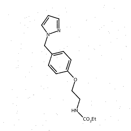 CCOC(=O)NCCOc1ccc(Cn2cccn2)cc1